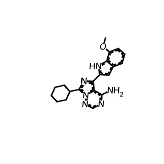 COc1cccc2cc(-c3nc(C4CCCCC4)n4ncnc(N)c34)[nH]c12